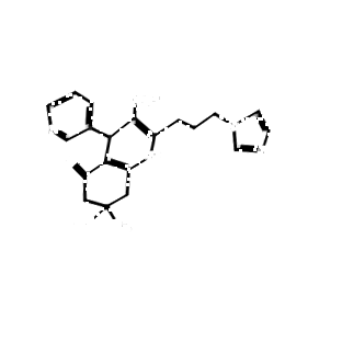 CCOC(=O)C1=C(CCCn2ccnc2)NC2=C(C(=O)CC(C)(C)C2)C1c1cccnc1